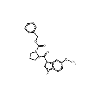 COc1ccc2[nH]cc(C(=O)[C@H]3CCCN3C(=O)OCc3ccccc3)c2c1